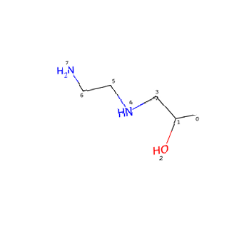 CC(O)[CH]NCCN